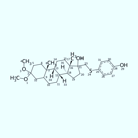 COC1(OC)CC[C@@]2(C)C(CC[C@@H]3[C@H]2CC[C@@]2(C)[C@H]3CCC2(O)CSc2ccc(O)cc2)C1